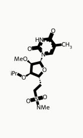 CNS(=O)(=O)CC[C@H]1O[C@@H](n2cc(C)c(=O)[nH]c2=O)[C@H](OC)[C@@H]1OC(C)C